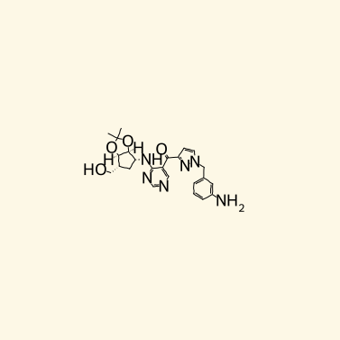 CC1(C)O[C@@H]2[C@@H](CO)C[C@@H](Nc3ncncc3C(=O)c3ccn(Cc4cccc(N)c4)n3)[C@@H]2O1